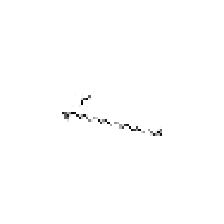 CC(C)CCCCCCCCCCCCCCCC(OCC(O)CO)C1CO1